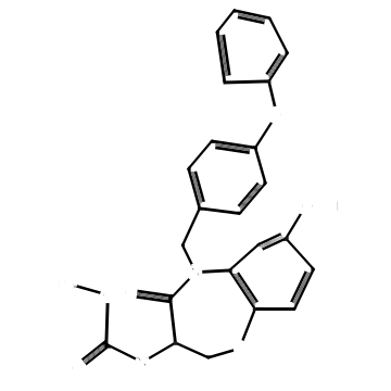 CC(C)(C)OC(=O)NC1CSc2ccc(C(=O)O)cc2N(Cc2ccc(Oc3ccccc3)cc2)C1=O